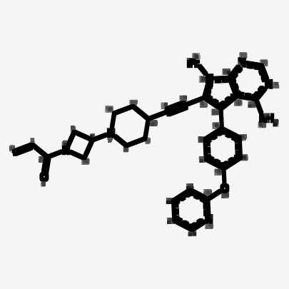 C=CC(=O)N1CC(N2CCC(C#Cc3c(-c4ccc(Oc5ccccn5)cc4)c4c(N)ncnc4n3C(C)C)CC2)C1